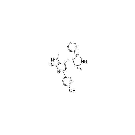 Cc1n[nH]c2nc(-c3ccc(O)cc3)cc(CN3C[C@H](C)NC[C@H]3c3ccccc3)c12